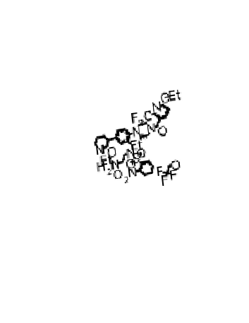 CCOc1ccc(C(=O)N2CCN(c3ccc(-c4cccnc4OCC)cc3CN(CCN)S(=O)(=O)c3ccccc3[N+](=O)[O-])[C@H](CC)C2)c(C(F)(F)F)n1.O=CC(F)(F)F